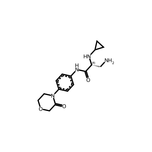 NC[C@@H](NC1CC1)C(=O)Nc1ccc(N2CCOCC2=O)cc1